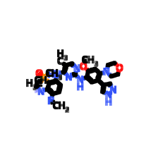 C=Nc1ccc(Nc2nc(Nc3cc(-c4cn[nH]c4)c(N4CCOCC4)cc3OC)ncc2C)c(P(C)(C)=O)c1/N=C\C